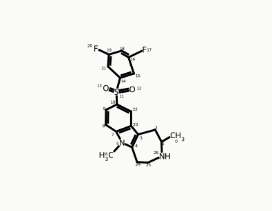 CC1Cc2c(n(C)c3ccc(S(=O)(=O)c4cc(F)cc(F)c4)cc23)CCN1